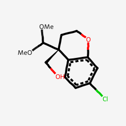 COC(OC)[C@]1(CO)CCOc2cc(Cl)ccc21